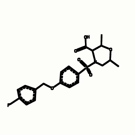 CC1CN(S(=O)(=O)c2ccc(OCc3ccc(F)cc3)cc2)C(C(=O)O)C(C)O1